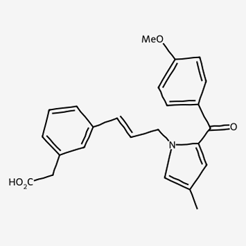 COc1ccc(C(=O)c2cc(C)cn2CC=Cc2cccc(CC(=O)O)c2)cc1